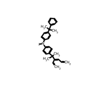 C=C/C=C(\C=C)C(C)(C)c1ccc(N(I)c2ccc(C(C)(C)c3ccccc3)cc2)cc1